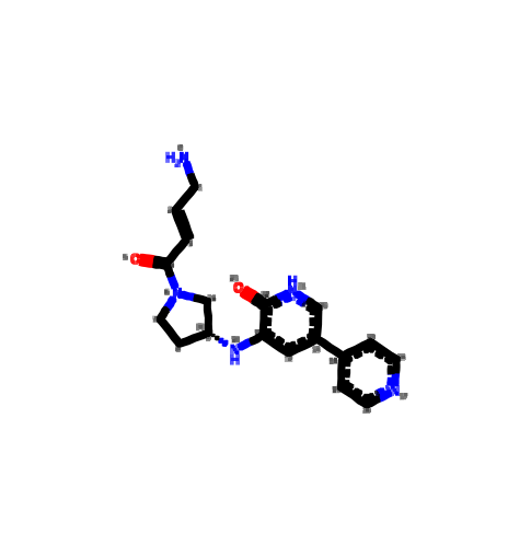 NCC=CC(=O)N1CC[C@@H](Nc2cc(-c3ccncc3)c[nH]c2=O)C1